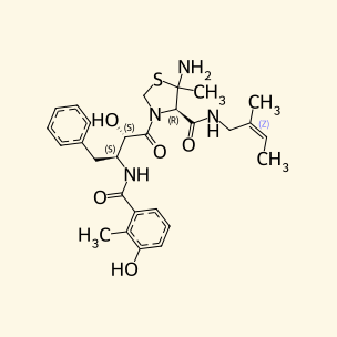 C/C=C(/C)CNC(=O)[C@H]1N(C(=O)[C@@H](O)[C@H](Cc2ccccc2)NC(=O)c2cccc(O)c2C)CSC1(C)N